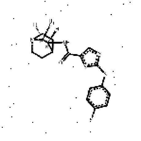 C[C@H]1[C@H](NC(=O)c2cnc(Sc3ccc(F)cc3)s2)C2CCN1CC2